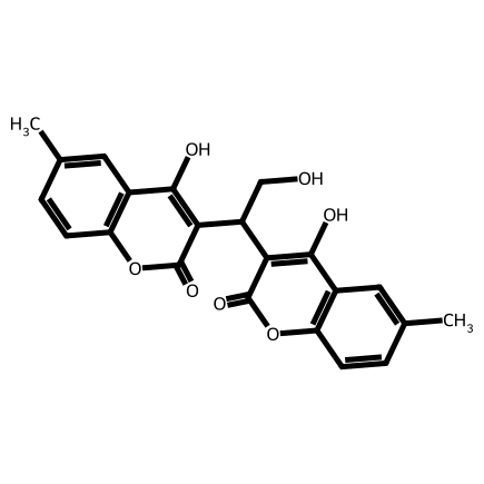 Cc1ccc2oc(=O)c(C(CO)c3c(O)c4cc(C)ccc4oc3=O)c(O)c2c1